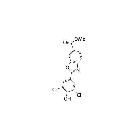 COC(=O)c1ccc2nc(-c3cc(Cl)c(O)c(Cl)c3)oc2c1